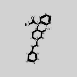 CCC(=O)N(c1ccccc1)C1CCN(CCc2ccccc2)CC1F